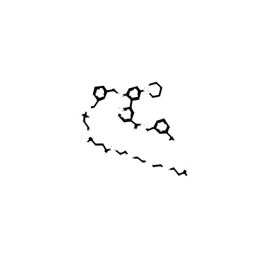 CC(C)(CCC(=O)NCCOCCOCCOCCC(=O)O)OCCC(C)(C)SCc1cccc(C(=O)Nc2ccc(N3CCCCC3)cc2-c2cc(C(=O)NCc3cccc(C(F)(F)F)c3)ccn2)c1